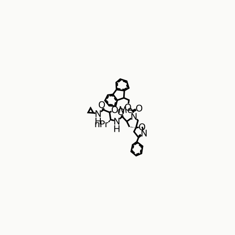 CCC[C@H](NC(=O)C1C[C@]2(CC(c3ccccc3)=NO2)CN1C(=O)OCC1c2ccccc2-c2ccccc21)C(OC)C(=O)NC1CC1